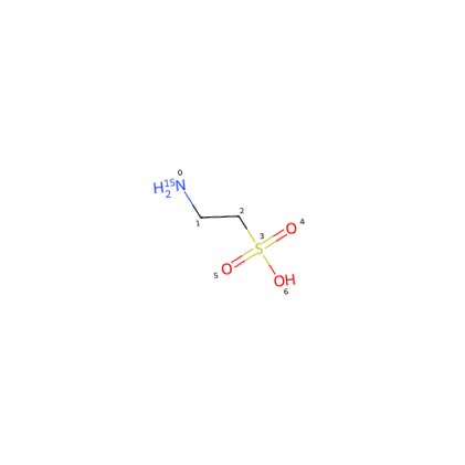 [15NH2]CCS(=O)(=O)O